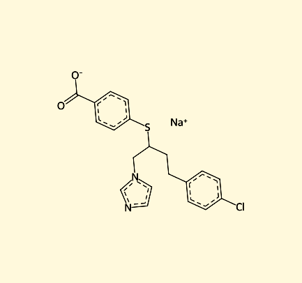 O=C([O-])c1ccc(SC(CCc2ccc(Cl)cc2)Cn2ccnc2)cc1.[Na+]